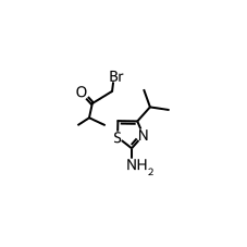 CC(C)C(=O)CBr.CC(C)c1csc(N)n1